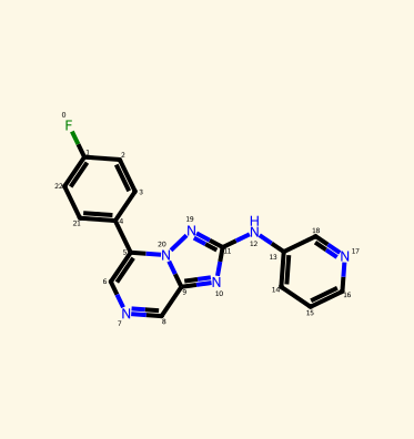 Fc1ccc(-c2cncc3nc(Nc4cccnc4)nn23)cc1